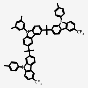 Cc1ccc(-n2c3ccc(C(F)(F)F)cc3c3ccc(C(C)(C)c4ccc5c(c4)c4cc(C(C)(C)c6ccc7c8cc(C(F)(F)F)ccc8n(-c8ccc(C)cc8)c7c6)ccc4n5-c4cc(C)cc(C)c4)cc32)cc1